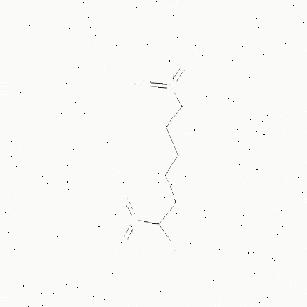 CCC(CCCCC[SH](=O)=O)[SH](=O)=O